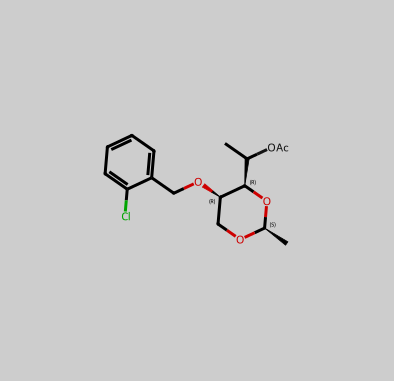 CC(=O)OC(C)[C@H]1O[C@@H](C)OC[C@H]1OCc1ccccc1Cl